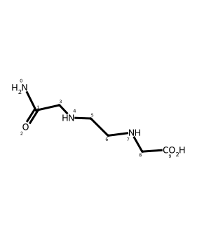 NC(=O)CNCCNCC(=O)O